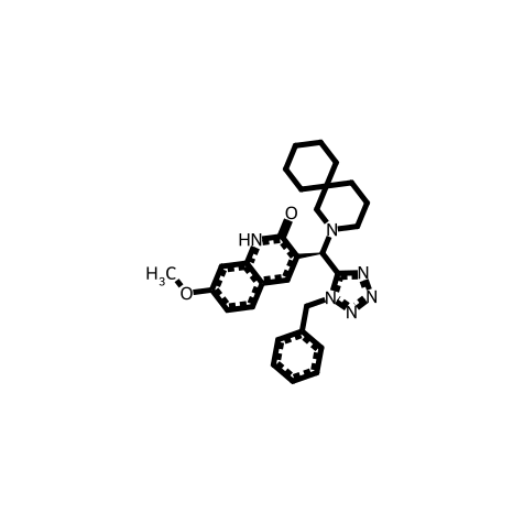 COc1ccc2cc([C@H](c3nnnn3Cc3ccccc3)N3CCCC4(CCCCC4)C3)c(=O)[nH]c2c1